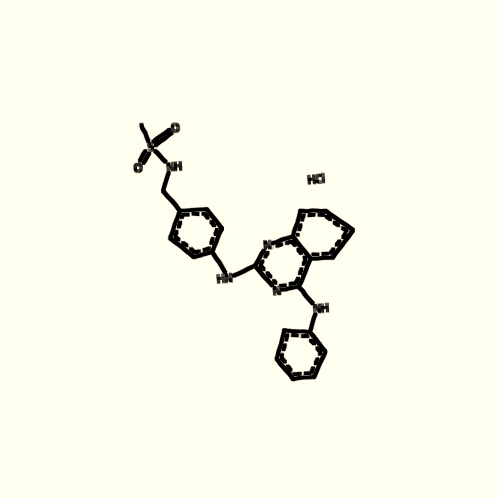 CS(=O)(=O)NCc1ccc(Nc2nc(Nc3ccccc3)c3ccccc3n2)cc1.Cl